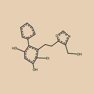 CCc1c(O)cc(O)c(-c2ccccc2)c1CCc1ocnc1CO